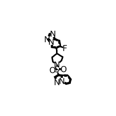 O=S(=O)(c1cnn2ccccc12)N1CCC(c2cn3ncnc3cc2F)CC1